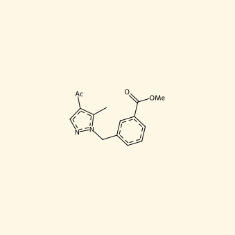 COC(=O)c1cccc(Cn2ncc(C(C)=O)c2C)c1